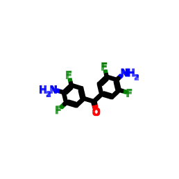 Nc1c(F)cc(C(=O)c2cc(F)c(N)c(F)c2)cc1F